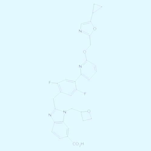 O=C(O)c1ccc2nc(Cc3cc(F)c(-c4cccc(OCc5ncc(C6CC6)o5)n4)cc3F)n(CC3CCO3)c2c1